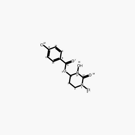 CCN1CCC(OC(=O)c2ccc(Cl)cc2)N(O)C1=O